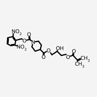 C=C(C)C(=O)OCCC(O)COC(=O)C1CCN(C(=O)OCc2c([N+](=O)[O-])cccc2[N+](=O)[O-])CC1